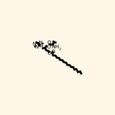 CCCCCCCCCCCCCCCCCC(=O)OCCC(COC(=O)[C@@H](N)C(C)C)Cn1cnc2cncnc21